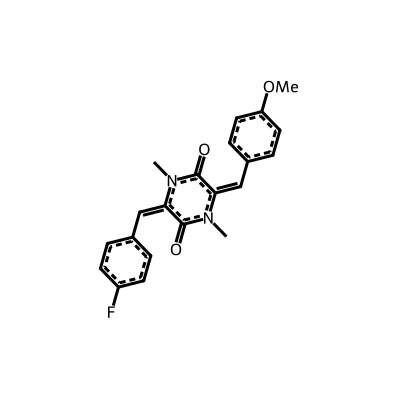 COc1ccc(C=c2c(=O)n(C)c(=Cc3ccc(F)cc3)c(=O)n2C)cc1